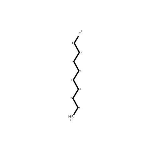 FCCCCCCCCS